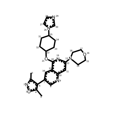 Cc1noc(C)c1-c1cnc2cc(N3CCOCC3)nc(OC3CCC(n4ccnc4)CC3)c2c1